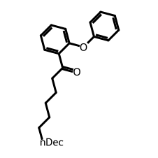 CCCCCCCCCCCCCCCC(=O)c1ccccc1Oc1ccccc1